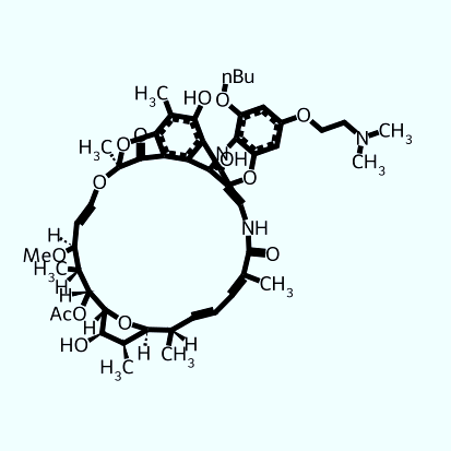 CCCCOc1cc(OCCN(C)C)cc2c1N=C1C(=C3NC(=O)/C(C)=C\C=C\[C@H](C)[C@@H]4O[C@H]([C@H](O)[C@@H]4C)[C@H](OC(C)=O)[C@H](C)[C@@H](OC)/C=C/O[C@@]4(C)Oc5c(C)c(O)c(c1c5C4=O)C3O)O2